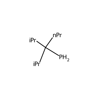 [CH2]CCC(P)(C(C)C)C(C)C